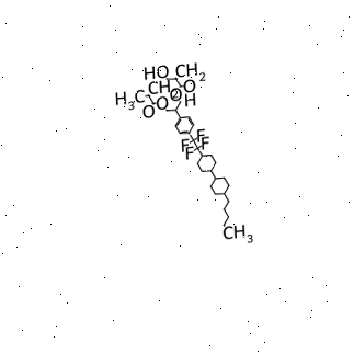 C=C(C)C(=O)OCC(COC(O)C(=C)CO)c1ccc(C(F)(F)C(F)(F)C2CCC(C3CCC(CCCCC)CC3)CC2)cc1